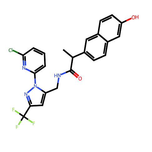 CC(C(=O)NCc1cc(C(F)(F)F)nn1-c1cccc(Cl)n1)c1ccc2cc(O)ccc2c1